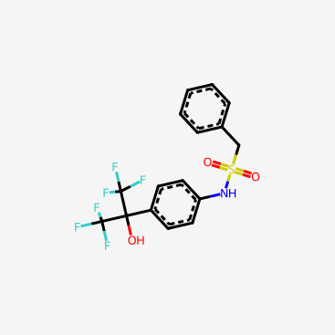 O=S(=O)(Cc1ccccc1)Nc1ccc(C(O)(C(F)(F)F)C(F)(F)F)cc1